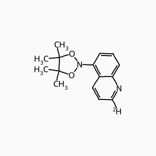 [2H]c1ccc2c(N3OC(C)(C)C(C)(C)O3)cccc2n1